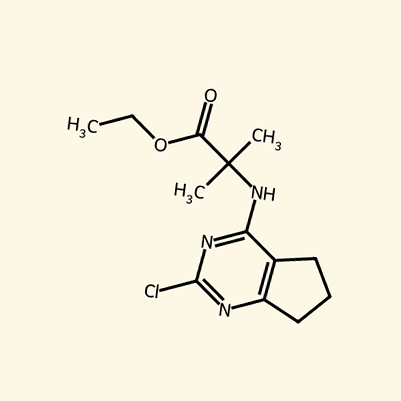 CCOC(=O)C(C)(C)Nc1nc(Cl)nc2c1CCC2